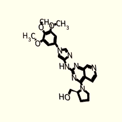 COc1cc(-n2cnc(Nc3nc(N4CCC[C@H]4CO)c4ccncc4n3)c2)cc(OC)c1OC